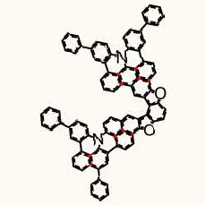 c1ccc(-c2ccc(N(c3ccc4cc5c(cc4c3)oc3ccc4oc6cc7cc(N(c8ccc(-c9ccccc9)cc8-c8ccccc8)c8ccc(-c9ccccc9)cc8-c8ccccc8)ccc7cc6c4c35)c3ccc(-c4ccccc4)cc3-c3ccccc3)c(-c3ccccc3)c2)cc1